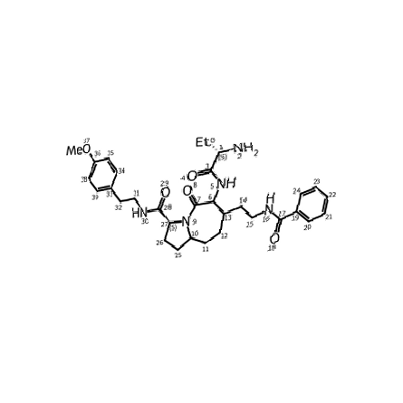 CC[C@H](N)C(=O)NC1C(=O)N2C(CCC1CCNC(=O)c1ccccc1)CC[C@H]2C(=O)NCCc1ccc(OC)cc1